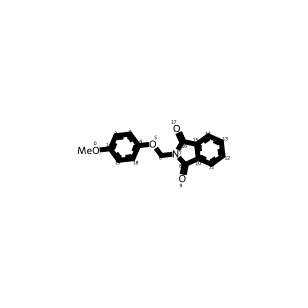 COc1ccc(OCN2C(=O)c3ccccc3C2=O)cc1